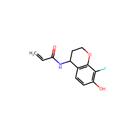 C=CC(=O)NC1CCOc2c1ccc(O)c2F